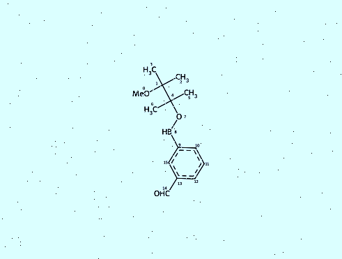 COC(C)(C)C(C)(C)OBc1cccc(C=O)c1